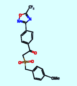 COc1ccc(CS(=O)(=O)CC(=O)c2ccc(-c3noc(C(F)(F)F)n3)cc2)cc1